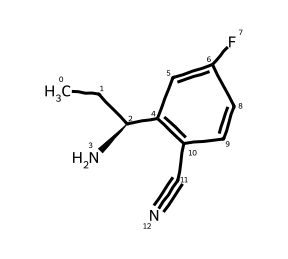 CC[C@H](N)c1cc(F)ccc1C#N